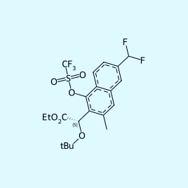 CCOC(=O)[C@@H](OC(C)(C)C)c1c(C)cc2cc(C(F)F)ccc2c1OS(=O)(=O)C(F)(F)F